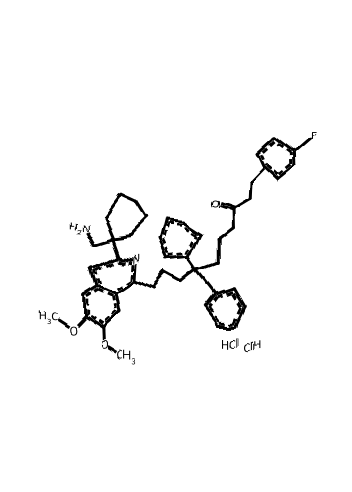 COc1cc2cc(C3(CN)CCCCC3)nc(CCCC(CCCC(=O)CCc3ccc(F)cc3)(c3ccccc3)c3ccccc3)c2cc1OC.Cl.Cl